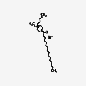 C=CCCC[N+]1(CC)CCN(C(=O)CCCCCCCCCCCCCCC)CC1.[Br-]